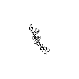 CCN1CCN(Cc2cc(C(=O)N[C@@H]3COc4ccc(Oc5ccnc6c5CCC(=O)N6)cc4[C@@H]3C)cc(C(F)(F)F)c2)CC1